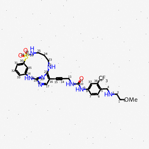 COCCNCc1ccc(NC(=O)NCC#Cc2cnc3nc2NCCCNS(=O)(=O)c2cccc(c2)N3)cc1C(F)(F)F